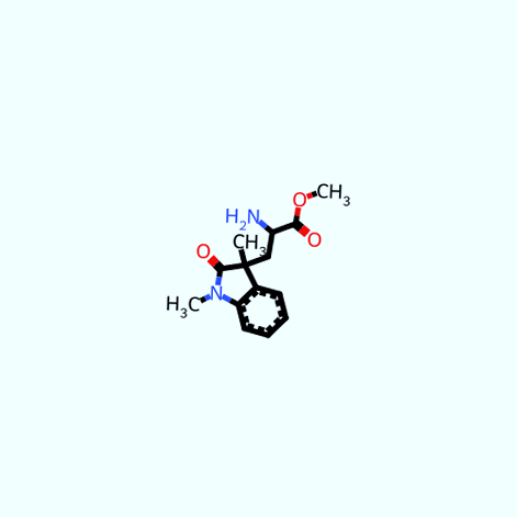 COC(=O)C(N)CC1(C)C(=O)N(C)c2ccccc21